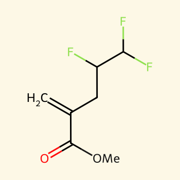 C=C(CC(F)C(F)F)C(=O)OC